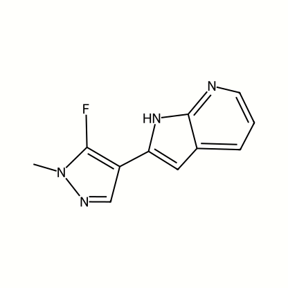 Cn1ncc(-c2cc3cccnc3[nH]2)c1F